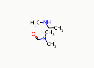 CCNC.CN(C)C=O